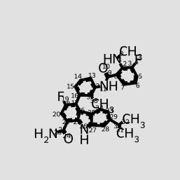 CNc1c(F)cccc1C(=O)Nc1cccc(-c2c(F)cc(C(N)=O)c3[nH]c4cc(C(C)C)ccc4c23)c1C